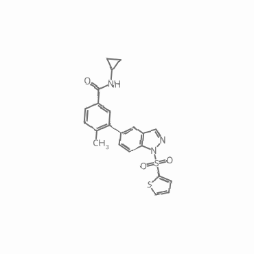 Cc1ccc(C(=O)NC2CC2)cc1-c1ccc2c(cnn2S(=O)(=O)c2cccs2)c1